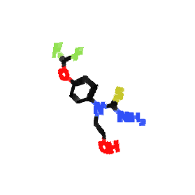 NC(=S)N(CCO)c1ccc(OC(F)F)cc1